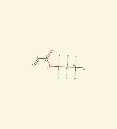 C=CC(=O)OC(F)(F)C(F)(F)C(C)(F)F